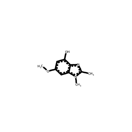 COc1cc(O)c2nc(C)n(C)c2c1